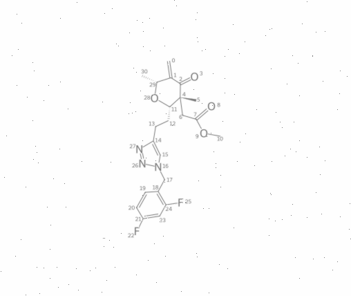 C=C1C(=O)[C@](C)(CC(=O)OC)[C@H](CCc2cn(Cc3ccc(F)cc3F)nn2)O[C@@H]1C